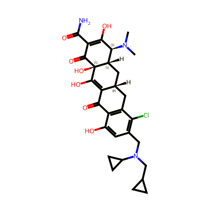 CN(C)[C@@H]1C(O)=C(C(N)=O)C(=O)[C@@]2(O)C(O)=C3C(=O)c4c(O)cc(CN(CC5CC5)C5CC5)c(Cl)c4C[C@H]3C[C@@H]12